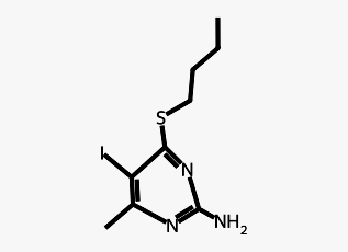 CCCCSc1nc(N)nc(C)c1I